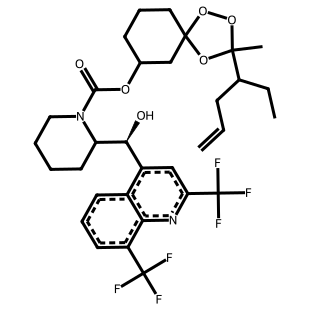 C=CCC(CC)C1(C)OOC2(CCCC(OC(=O)N3CCCCC3[C@@H](O)c3cc(C(F)(F)F)nc4c(C(F)(F)F)cccc34)C2)O1